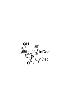 CCCCCCCCCCCCCC(=O)OCC(C[N+](C)(C)CCO)OC(=O)CCCCCCCCCCCCC.[Br-]